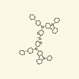 C[Si](C)(c1ccc(N(c2ccc(-c3ccccc3)cc2)c2ccc3c(c2)c2ccccc2n3-c2ccccc2)cn1)c1ccc(N(c2ccc(-c3ccccc3)cc2)c2ccc3c(c2)c2ccccc2n3-c2ccccc2)cn1